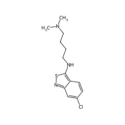 CN(C)CCCCNc1snc2cc(Cl)ccc12